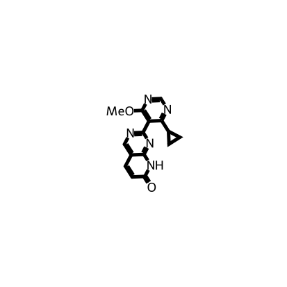 COc1ncnc(C2CC2)c1-c1ncc2ccc(=O)[nH]c2n1